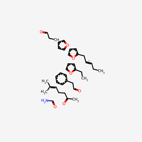 CC(=O)CCC=C(C)C.CC/C=C/Cc1ccco1.CCC=O.CCc1ccco1.NC=O.O=CCc1ccccc1.c1ccoc1